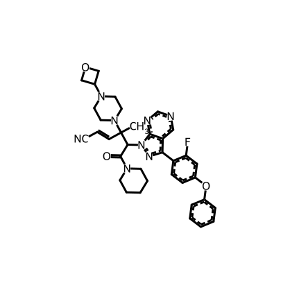 CC(C=CC#N)(C(C(=O)N1CCCCC1)n1nc(-c2ccc(Oc3ccccc3)cc2F)c2cncnc21)N1CCN(C2COC2)CC1